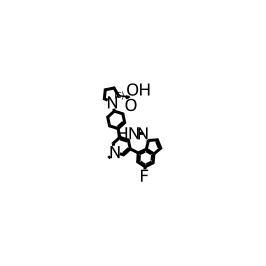 CN1C=C2C(=C(C3=CCC(N4CCC[C@H]4C(=O)O)CC3)C1)NN=C1C=Cc3cc(F)cc2c31